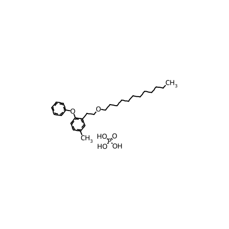 CCCCCCCCCCCCOCCc1cc(C)ccc1Oc1ccccc1.O=P(O)(O)O